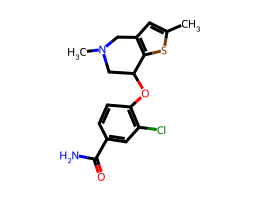 Cc1cc2c(s1)C(Oc1ccc(C(N)=O)cc1Cl)CN(C)C2